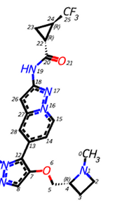 CN1CC[C@@H]1COc1cnn(C)c1-c1ccn2nc(NC(=O)[C@@H]3C[C@H]3C(F)(F)F)cc2c1